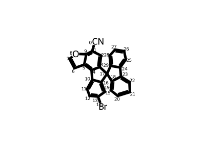 N#Cc1cc2c(c3ccoc13)-c1ccc(Br)cc1C21c2ccccc2-c2ccccc21